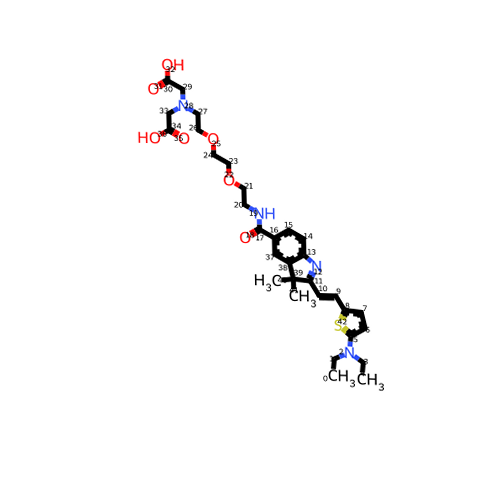 CCN(CC)c1ccc(/C=C/C2=Nc3ccc(C(=O)NCCOCCOCCN(CC(=O)O)CC(=O)O)cc3C2(C)C)s1